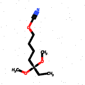 CC[Si](CCCCOC#N)(OC)OC